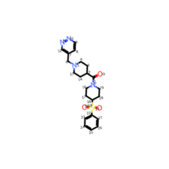 O=C(C1CCN(Cc2ccnnc2)CC1)N1CCC(S(=O)(=O)c2ccccc2)CC1